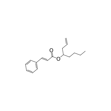 C=CCC(CCCC)OC(=O)C=Cc1ccccc1